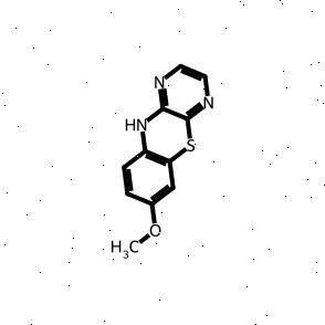 COc1ccc2c(c1)Sc1nccnc1N2